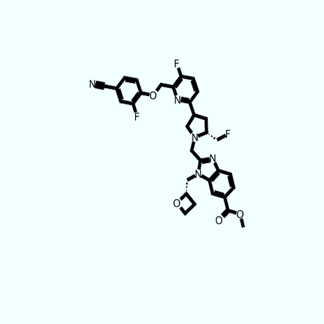 COC(=O)c1ccc2nc(CN3CC(c4ccc(F)c(COc5ccc(C#N)cc5F)n4)C[C@@H]3CF)n(C[C@@H]3CCO3)c2c1